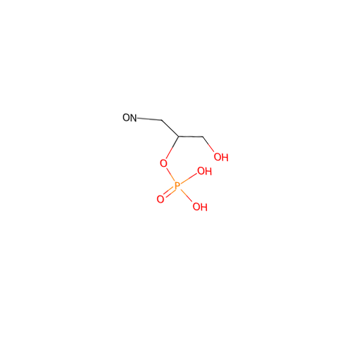 O=NCC(CO)OP(=O)(O)O